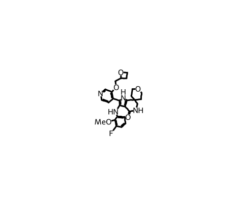 COc1c(F)cccc1Nc1c(-c2ccncc2OCC2CCO2)[nH]c2c1C(=O)NCC21CCOCC1